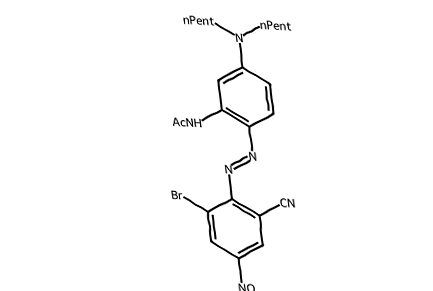 CCCCCN(CCCCC)c1ccc(N=Nc2c(Br)cc([N+](=O)[O-])cc2C#N)c(NC(C)=O)c1